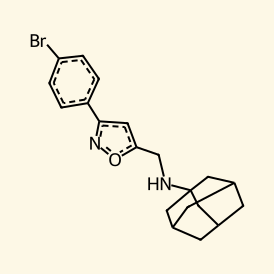 Brc1ccc(-c2cc(CNC34CC5CC(CC(C5)C3)C4)on2)cc1